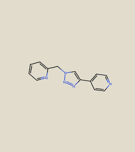 c1ccc(Cn2cc(-c3ccncc3)nn2)nc1